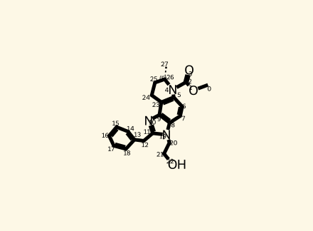 COC(=O)N1c2ccc3c(nc(Cc4ccccc4)n3CCO)c2CC[C@@H]1C